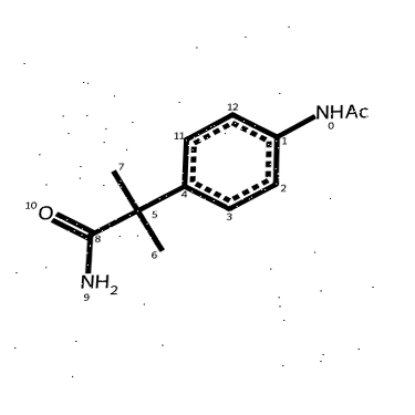 CC(=O)Nc1ccc(C(C)(C)C(N)=O)cc1